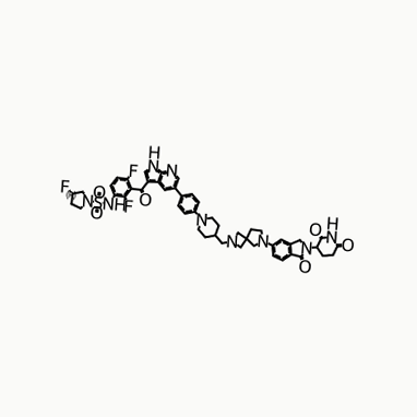 O=C1CCC(N2Cc3cc(N4CCC5(CN(CC6CCN(c7ccc(-c8cnc9[nH]cc(C(=O)c%10c(F)ccc(NS(=O)(=O)N%11CC[C@@H](F)C%11)c%10F)c9c8)cc7)CC6)C5)C4)ccc3C2=O)C(=O)N1